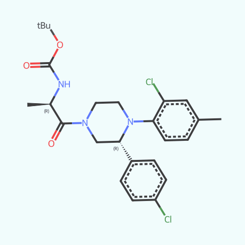 Cc1ccc(N2CCN(C(=O)[C@@H](C)NC(=O)OC(C)(C)C)C[C@H]2c2ccc(Cl)cc2)c(Cl)c1